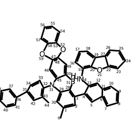 Cc1cc(-c2cc3ccccc3cc2Nc2cccc3c2oc2ccccc23)c2c(c1)N(c1ccc(-c3ccccc3)cc1C)c1cc3c(cc1B2)Oc1ccccc1O3